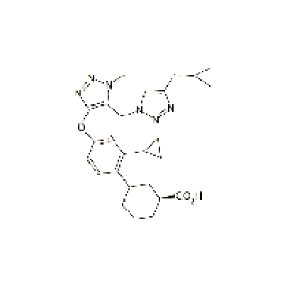 Cn1nnc(Oc2ccc(C3CCC[C@H](C(=O)O)C3)c(C3CC3)n2)c1Cn1cc(CC2CC2)nn1